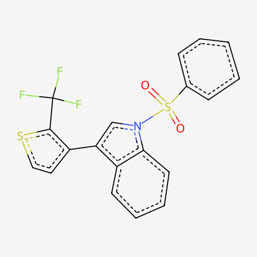 O=S(=O)(c1ccccc1)n1cc(-c2ccsc2C(F)(F)F)c2ccccc21